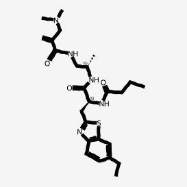 C=C(CN(C)C)C(=O)NC[C@H](C)NC(=O)[C@H](Cc1nc2ccc(CC)cc2s1)NC(=O)CCC